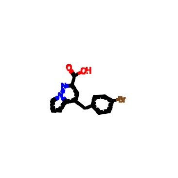 O=C(O)c1cc(Cc2ccc(Br)cc2)c2cccn2n1